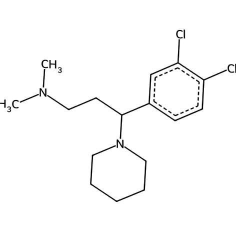 CN(C)CCC(c1ccc(Cl)c(Cl)c1)N1CCCCC1